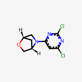 Clc1cc(N2C[C@@H]3C[C@H]2CO3)nc(Cl)n1